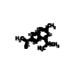 Cc1nc(N(C)C)c2sc([S+](C)[O-])nc2n1